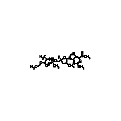 CCOC(=O)[C@H](C)NP(C)(=S)OC[C@]1(F)C[C@H](C)[C@H](n2cnc3c(NC)nc(N)nc32)O1